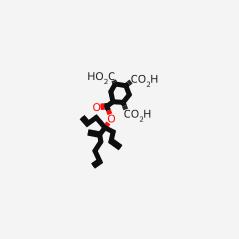 C=CCCC(=C)C(CC=C)(CC=C)OC(=O)C1CC(C(=O)O)C(C(=O)O)CC1C(=O)O